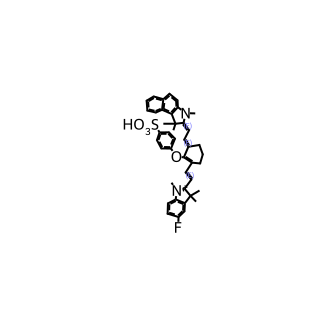 CN1/C(=C/C=C2\CCCC(/C=C/C3=[N+](C)c4ccc(F)cc4C3(C)C)=C2Oc2ccc(S(=O)(=O)O)cc2)C(C)(C)c2c1ccc1ccccc21